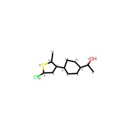 CC(O)C1CCC(C2CC(Cl)SC2C)CC1